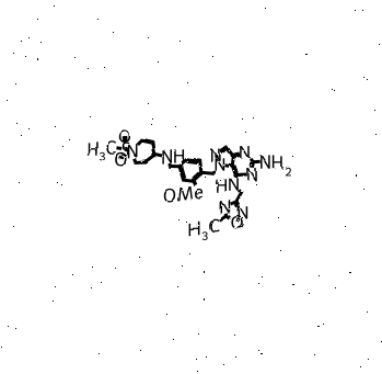 COc1cc(CNC2CCN(S(C)(=O)=O)CC2)ccc1Cn1ncc2nc(N)nc(NCc3noc(C)n3)c21